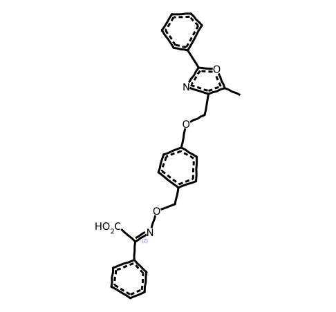 Cc1oc(-c2ccccc2)nc1COc1ccc(CO/N=C(\C(=O)O)c2ccccc2)cc1